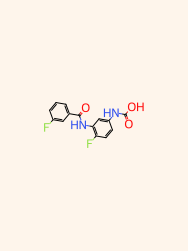 O=C(O)Nc1ccc(F)c(NC(=O)c2cccc(F)c2)c1